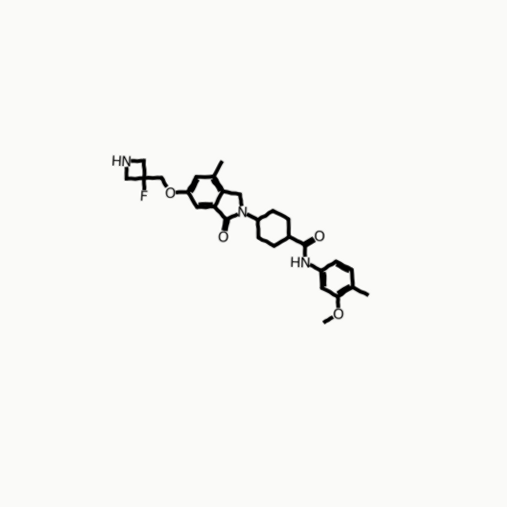 COc1cc(NC(=O)C2CCC(N3Cc4c(C)cc(OCC5(F)CNC5)cc4C3=O)CC2)ccc1C